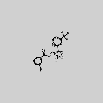 O=C(OCn1c(-c2cc(C(F)(F)F)ccn2)noc1=O)c1cccc(F)c1